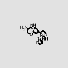 Cn1nccc1Nc1nccc(-c2cc3n4c(nnc4c2)C(N)CCO3)n1